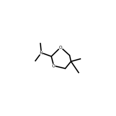 CN(C)C1OCC(C)(C)CO1